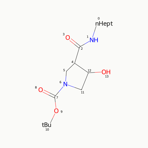 CCCCCCCNC(=O)C1CN(C(=O)OC(C)(C)C)CC1O